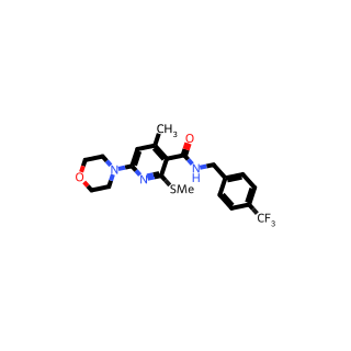 CSc1nc(N2CCOCC2)cc(C)c1C(=O)NCc1ccc(C(F)(F)F)cc1